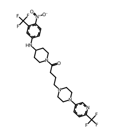 O=C(CCCN1CCN(c2ccc(C(F)(F)F)nc2)CC1)N1CCC(Nc2ccc([N+](=O)[O-])c(C(F)(F)F)c2)CC1